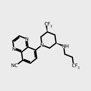 N#Cc1ccc(N2C[C@H](NCCC(F)(F)F)C[C@H](C(F)(F)F)C2)c2nccnc12